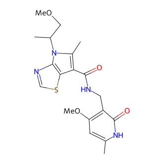 COCC(C)n1c(C)c(C(=O)NCc2c(OC)cc(C)[nH]c2=O)c2scnc21